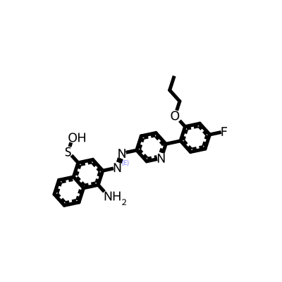 CCCOc1cc(F)ccc1-c1ccc(/N=N/c2cc(SO)c3ccccc3c2N)cn1